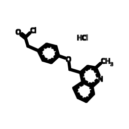 Cc1cc(COc2ccc(CC(=O)Cl)cc2)c2ccccc2n1.Cl